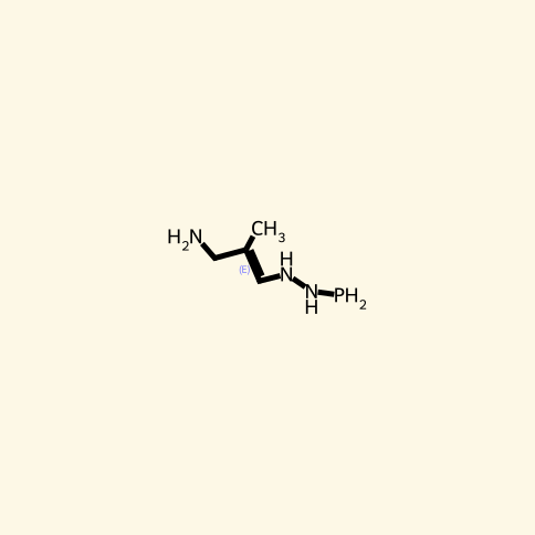 C/C(=C\NNP)CN